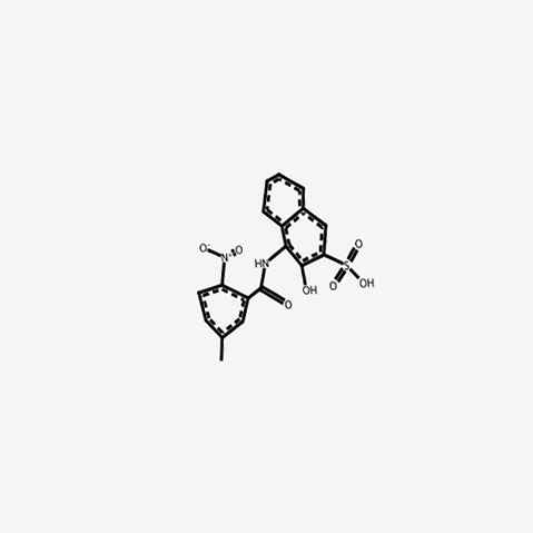 Cc1ccc([N+](=O)[O-])c(C(=O)Nc2c(O)c(S(=O)(=O)O)cc3ccccc23)c1